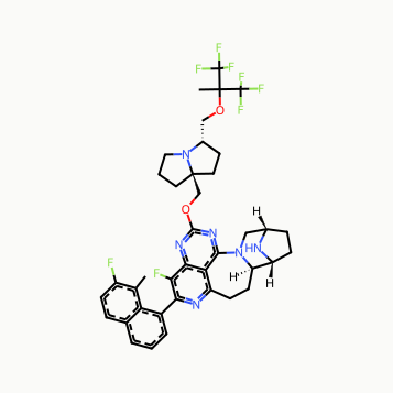 Cc1c(F)ccc2cccc(-c3nc4c5c(nc(OC[C@@]67CCCN6[C@H](COC(C)(C(F)(F)F)C(F)(F)F)CC7)nc5c3F)N3C[C@@H]5CC[C@@H](N5)[C@H]3CC4)c12